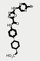 O=C(O)C[C@H]1CC[C@H](c2ccc(NC(=O)c3nnc(Nc4cnc(Br)cn4)o3)cc2)CC1